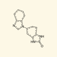 O=c1[nH]c2ccc(-n3cnc4ccccc43)cc2[nH]1